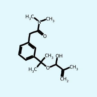 C=C(C)C(O)OC(C)(C)c1cccc(CC(=O)N(C)C)c1